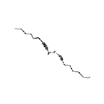 CCCCCCC#C[P][P]C#CCCCCCC